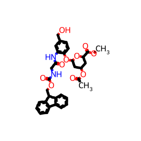 COC(=O)C1CC(OC(C)=O)CC(Oc2ccc(CO)cc2NC(=O)CNC(=O)OCC2c3ccccc3-c3ccccc32)O1